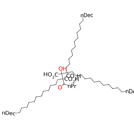 CCCCCCCCCCCCCCCCCCCCCCC(CCCCCCCCCCCCCCCCCCCCCC)(C(=O)O)C(O)(C(=O)O)C(CCCCCCCCCCCCCCCCCCCCCC)(C(=O)O)C(=O)CCC